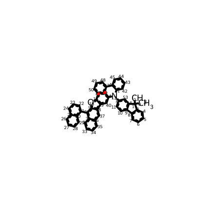 CC1(C)c2ccccc2-c2ccc(N(c3ccc4oc5c(-c6cccc7ccccc67)c6ccccc6cc5c4c3)c3ccccc3-c3ccccc3)cc21